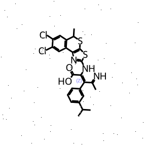 CC(=N)/C(=C(\Nc1nc2c(s1)SC(C)c1cc(Cl)c(Cl)cc1-2)C(=O)O)c1cccc(C(C)C)c1